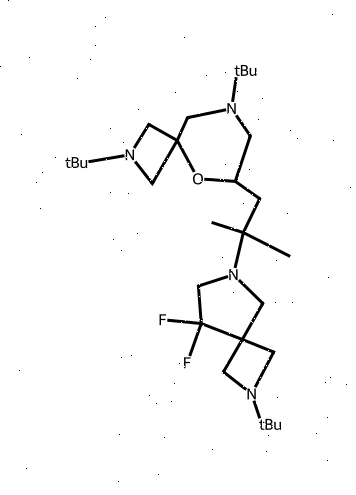 CC(C)(C)N1CC(CC(C)(C)N2CC(F)(F)C3(CN(C(C)(C)C)C3)C2)OC2(C1)CN(C(C)(C)C)C2